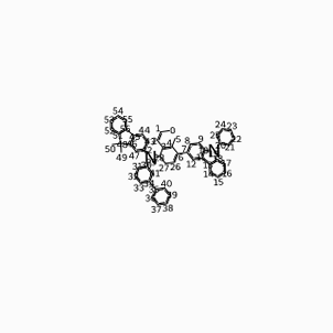 C/C=C\C1=C(C)C(c2ccc3c(c2)c2ccccc2n3-c2ccccc2)=CCC1N(c1cccc(-c2ccccc2)c1)c1ccc2c(c1)C(C)(C)c1ccccc1-2